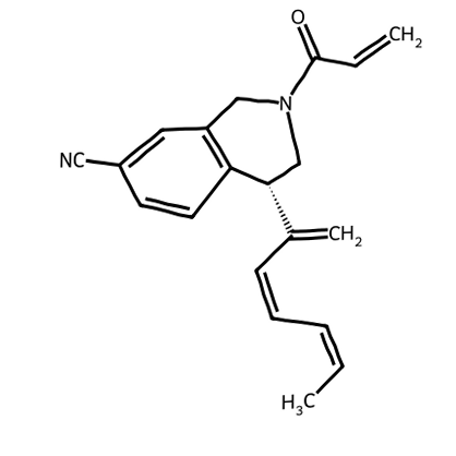 C=CC(=O)N1Cc2cc(C#N)ccc2[C@@H](C(=C)/C=C\C=C/C)C1